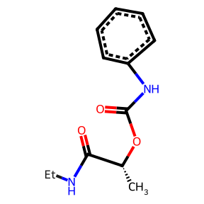 CCNC(=O)[C@@H](C)OC(=O)Nc1ccccc1